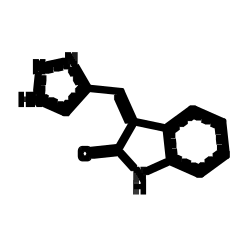 O=C1Nc2ccccc2C1=Cc1c[nH]nn1